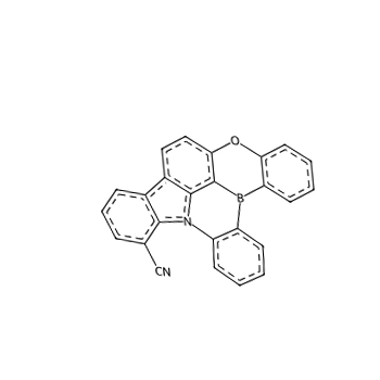 N#Cc1cccc2c3ccc4c5c3n(c12)-c1ccccc1B5c1ccccc1O4